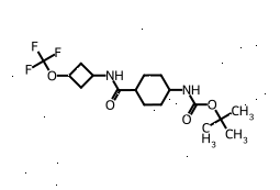 CC(C)(C)OC(=O)NC1CCC(C(=O)NC2CC(OC(F)(F)F)C2)CC1